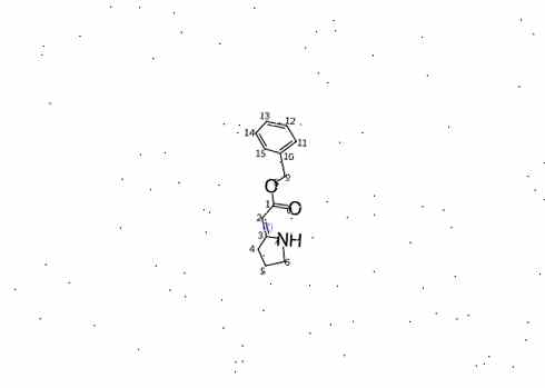 O=C(/C=C1/CCCN1)OCc1ccccc1